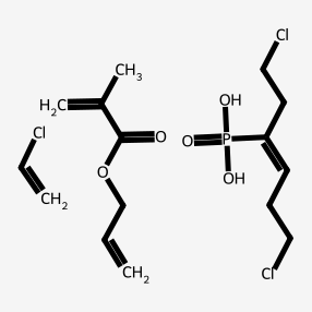 C=CCOC(=O)C(=C)C.C=CCl.O=P(O)(O)/C(=C\CCCl)CCCl